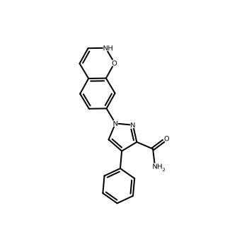 NC(=O)c1nn(-c2ccc3c(c2)ONC=C3)cc1-c1ccccc1